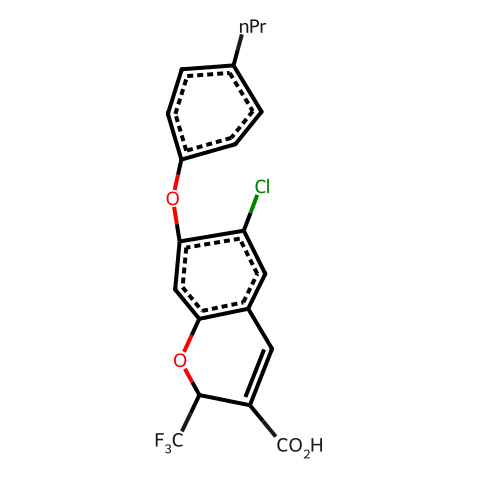 CCCc1ccc(Oc2cc3c(cc2Cl)C=C(C(=O)O)C(C(F)(F)F)O3)cc1